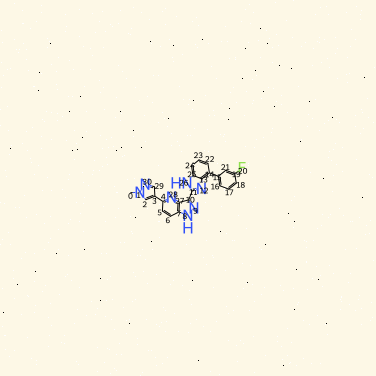 Cn1cc(-c2ccc3[nH]nc(-c4nc5c(-c6cccc(F)c6)cccc5[nH]4)c3n2)cn1